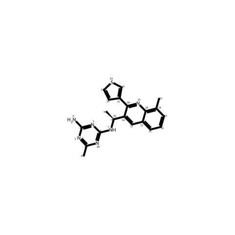 Cc1nc(N)nc(N[C@@H](C)c2cc3cccc(C)c3nc2-c2ccsc2)n1